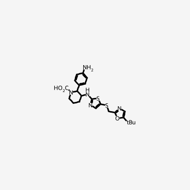 CC(C)(C)c1cnc(CSc2cnc(NC3CCCN(C(=O)O)C3c3ccc(N)cc3)s2)o1